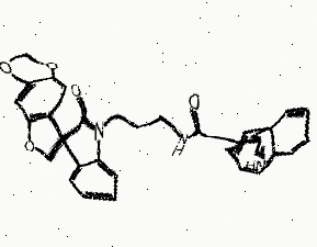 O=C(NCCCN1C(=O)C2(COc3cc4c(cc32)OCO4)c2ccccc21)C1C=CNC23C=CC=CC2(C=CC=C3)C1